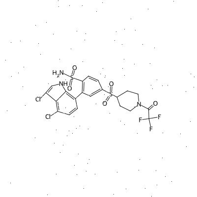 NS(=O)(=O)c1ccc(S(=O)(=O)C2CCN(C(=O)C(F)(F)F)CC2)cc1-c1ccc(Cl)c2c(Cl)c[nH]c12